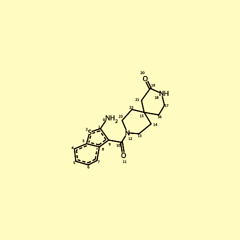 Nc1sc2ccccc2c1C(=O)N1CCC2(CCNC(=O)C2)CC1